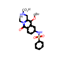 CCCCOc1c(CNC(=O)O)n(CC(C)C)c(=O)c2ccc(NS(=O)(=O)c3ccccc3)cc12